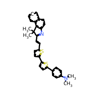 CN(C)c1ccc(-c2ccc(-c3ccc(C=CC4=Nc5ccc6ccccc6c5C4(C)C)s3)s2)cc1